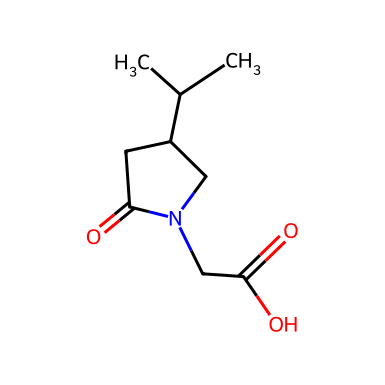 CC(C)C1CC(=O)N(CC(=O)O)C1